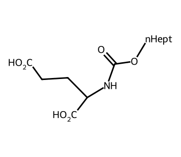 CCCCCCCOC(=O)NC(CCC(=O)O)C(=O)O